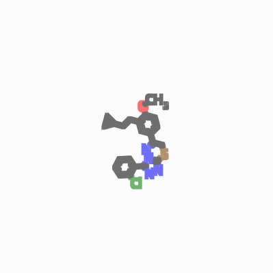 COc1ccc(C2=Nn3c(nnc3-c3ccccc3Cl)SC2)cc1CCC1CC1